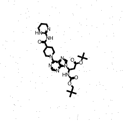 CC(C)(C)COC(=O)NC(CC(=O)OC(C)(C)C)n1cnc2c(N3CCC(C(=O)NC4=NCCCN4)CC3)ncnc21